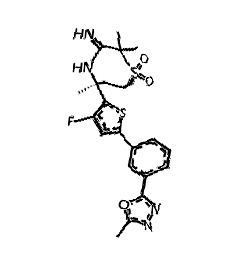 Cc1nnc(-c2cccc(-c3cc(F)c([C@]4(C)CS(=O)(=O)C(C)(C)C(=N)N4)s3)c2)o1